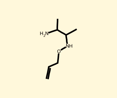 C=CCONC(C)C(C)N